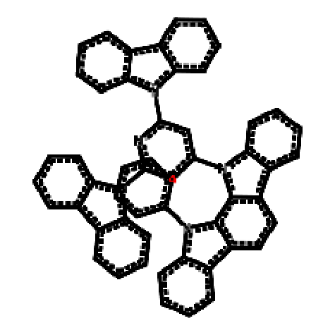 c1ccc(-n2c3ccccc3c3ccc4c5ccccc5n(-c5cc(-n6c7ccccc7c7ccccc76)nc(-n6c7ccccc7c7ccccc76)c5)c4c32)cc1